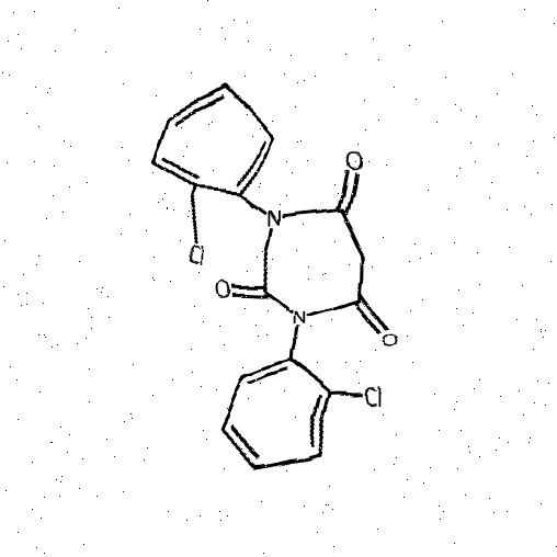 O=C1CC(=O)N(c2ccccc2Cl)C(=O)N1c1ccccc1Cl